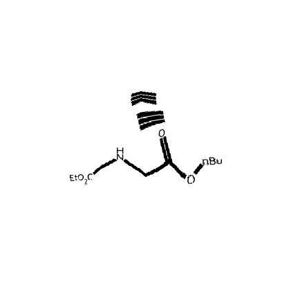 C#C.C#C.CCCCOC(=O)CNC(=O)OCC